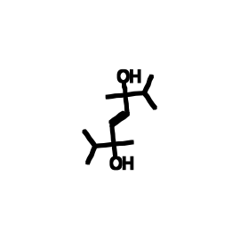 CC(C)C(C)(O)/C=C/C(C)(O)C(C)C